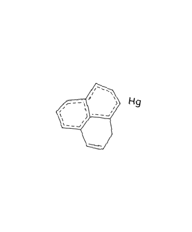 C1=Cc2cccc3cccc(c23)C1.[Hg]